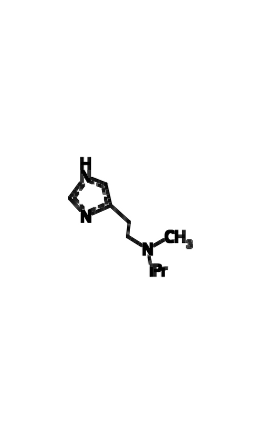 CC(C)N(C)CCc1c[nH]cn1